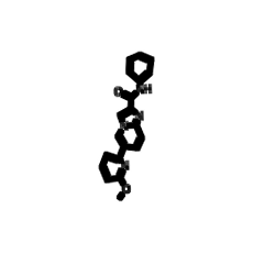 COc1cccc(-c2ccc3nc(C(=O)Nc4ccccc4)cn3c2)n1